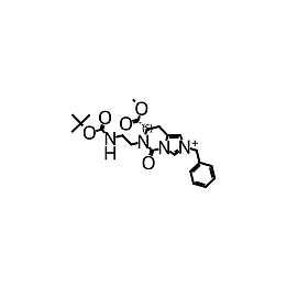 COC(=O)[C@@H]1Cc2c[n+](Cc3ccccc3)cn2C(=O)N1CCNC(=O)OC(C)(C)C